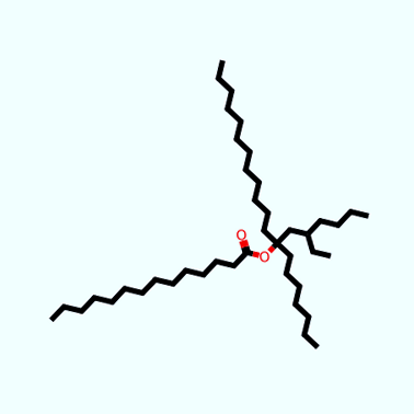 CCCCCCCCCCCCCC(=O)OC(CCCCCCC)(CCCCCCCCCCCC)CC(CC)CCCC